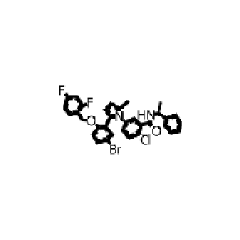 Cc1ccc(-c2cc(Br)ccc2OCc2ccc(F)cc2F)n1-c1ccc(Cl)c(C(=O)N[C@@H](C)c2ccccc2)c1